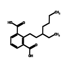 CCCCC(CC)CCc1c(C(=O)O)cccc1C(=O)O